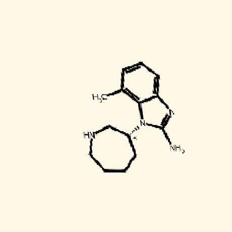 Cc1cccc2nc(N)n([C@@H]3CCCCNC3)c12